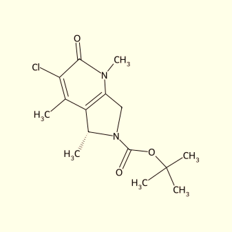 Cc1c2c(n(C)c(=O)c1Cl)CN(C(=O)OC(C)(C)C)[C@@H]2C